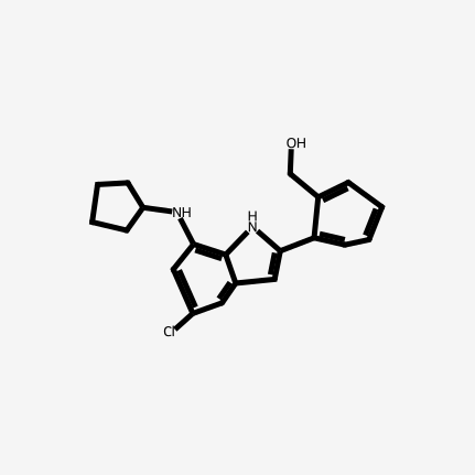 OCc1ccccc1-c1cc2cc(Cl)cc(NC3CCCC3)c2[nH]1